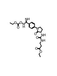 CCOC(=O)CCNC(=O)N[C@H]1CCN(c2ccc(C(=N)NOC(=O)OCC)cc2)C1=O